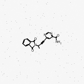 CC(C#Cc1cc(C(N)=O)ncn1)N1C(=O)c2ccccc2C1=O